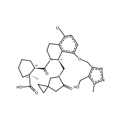 Cn1nnc(COc2ccc(Cl)c3c2[C@@H](CN2CC4(CC4)CC2=O)N(C(=O)[C@@H]2CCCC[C@]2(C)C(=O)O)CC3)c1CO